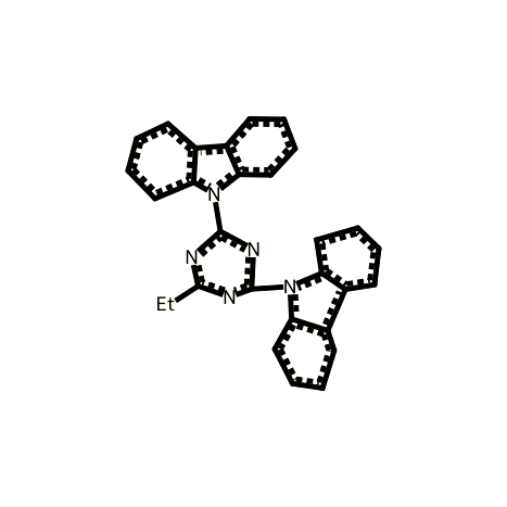 CCc1nc(-n2c3ccccc3c3ccccc32)nc(-n2c3ccccc3c3ccccc32)n1